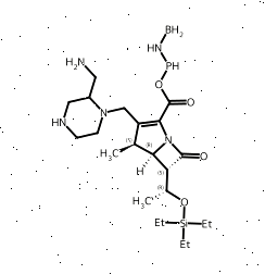 BNPOC(=O)C1=C(CN2CCNCC2CN)[C@H](C)[C@@H]2[C@@H]([C@@H](C)O[Si](CC)(CC)CC)C(=O)N12